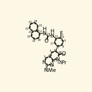 CNc1ncc2cc(-c3ccc(F)c(NC(=O)Nc4cccc5ccccc45)c3)c(=O)n(C(C)C)c2n1